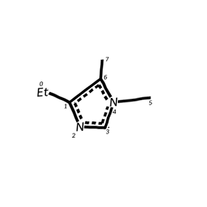 CCc1n[c]n(C)c1C